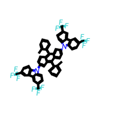 Cc1ccccc1-c1c2ccc(-n3c4ccc(C(F)(F)F)cc4c4cc(C(F)(F)F)ccc43)cc2c(-c2ccccc2C)c2ccc(-n3c4ccc(C(F)(F)F)cc4c4cc(C(F)(F)F)ccc43)cc12